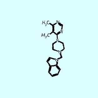 Cc1ncnc(N2CCN(Cn3ccc4ccccc43)CC2)c1C